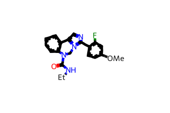 CCNC(=O)N1Cn2c(cnc2-c2ccc(OC)cc2F)-c2ccccc21